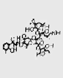 CC[C@@H](O)[C@](C)(O)[C@@H](CC)OC(=O)[C@H](C)[C@@H](OC1C[C@@](C)(OC)[C@@H](ONNC(=O)c2cccc(C)c2Cl)[C@H](C)O1)[C@H](C)[C@@H](OC1O[C@H](C)C[C@H](N(C)C)[C@H]1O)[C@](C)(O)C[C@@H](C)CNC